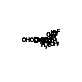 CC(C)(O)c1cc2nn(C3CCC(C=O)CC3)cc2cc1NC(=O)c1ccc(F)cn1